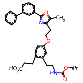 Cc1oc(-c2cccc(-c3ccccc3)c2)nc1CCOc1ccc(CCC(=O)O)c(CCNC(=O)OC(C)C)c1